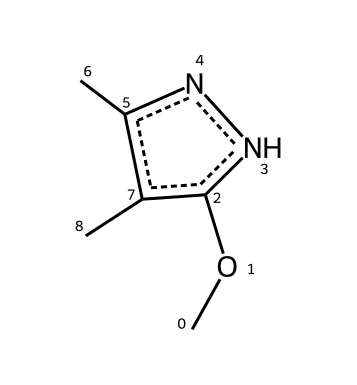 COc1[nH]nc(C)c1C